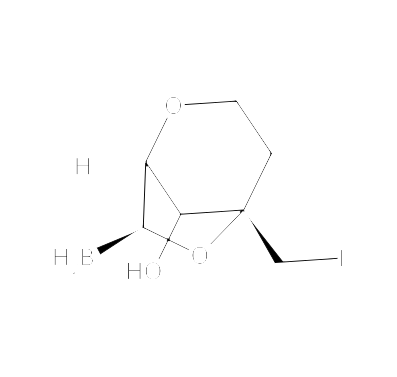 B[C@@H]1O[C@@]2(CI)CCO[C@H]1C2O